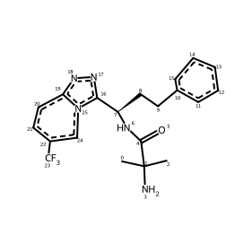 CC(C)(N)C(=O)N[C@H](CCc1ccccc1)c1nnc2ccc(C(F)(F)F)cn12